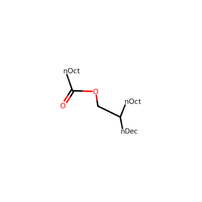 CCCCCCCCCCC(CCCCCCCC)COC(=O)CCCCCCCC